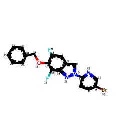 Fc1cc2cn(-c3ccc(Br)cn3)nc2c(F)c1OCc1ccccc1